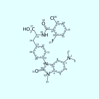 CN(C)c1ccc2c(c1)n(-c1ccc(CC(NC(=O)c3c(F)cccc3Cl)C(=O)O)cc1)c(=O)n2C